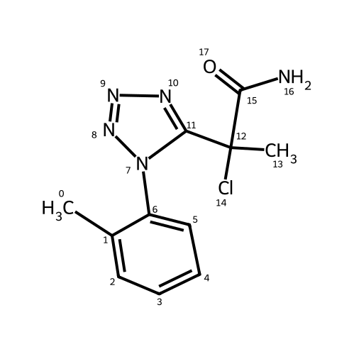 Cc1ccccc1-n1nnnc1C(C)(Cl)C(N)=O